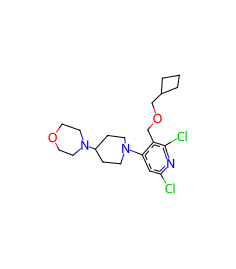 Clc1cc(N2CCC(N3CCOCC3)CC2)c(COCC2CCC2)c(Cl)n1